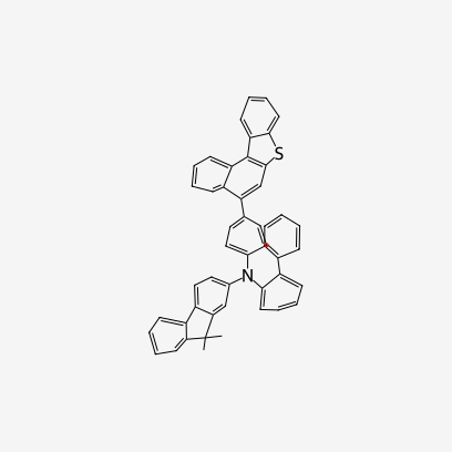 CC1(C)c2ccccc2-c2ccc(N(c3ccc(-c4cc5sc6ccccc6c5c5ccccc45)cc3)c3ccccc3-c3ccccc3)cc21